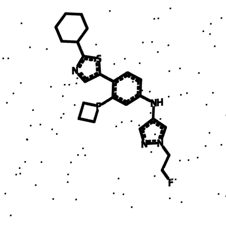 FCCn1cc(Nc2ccc(-c3cnc(C4CCCCC4)s3)c(P3CCC3)c2)cn1